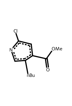 CCCCc1cnc(Cl)cc1C(=O)OC